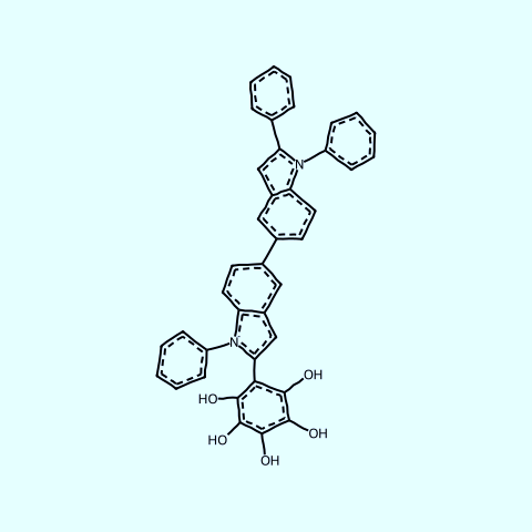 Oc1c(O)c(O)c(-c2cc3cc(-c4ccc5c(c4)cc(-c4ccccc4)n5-c4ccccc4)ccc3n2-c2ccccc2)c(O)c1O